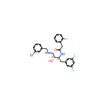 CCc1cccc(CNC[C@@H](O)[C@H](Cc2cc(F)cc(F)c2)NC(=O)Cc2ccccc2F)c1